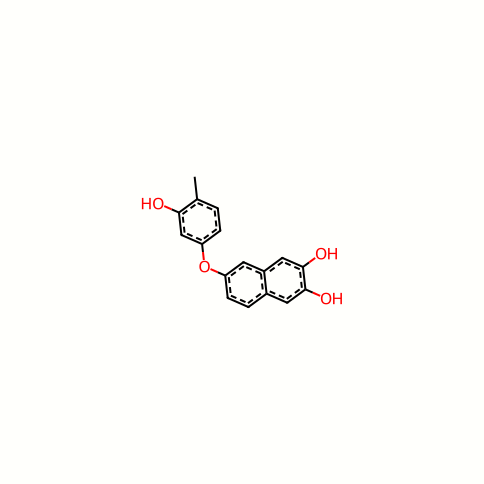 Cc1ccc(Oc2ccc3cc(O)c(O)cc3c2)cc1O